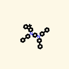 CC1(C)c2ccccc2-c2cc(N(c3ccc(-c4ccccc4)cc3)c3ccc(N(c4ccc(-c5ccccc5)cc4)c4ccc(C5C=CC=CC5)cc4)cc3)ccc21